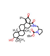 CC(C)C1=C2C3CCC4[C@@](C)(CCC5C(C)(C)[C@@H](O)CC[C@@]54C)C3CCC2(C(=O)NC[C@H]2CCCN2C(=O)OC(C)(C)C)CC1=O